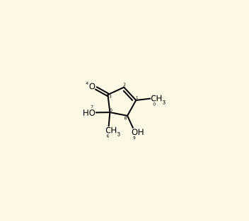 CC1=CC(=O)C(C)(O)C1O